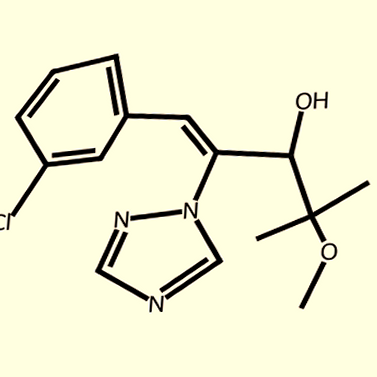 COC(C)(C)C(O)C(=Cc1cccc(Cl)c1)n1cncn1